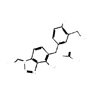 CCc1cc([C@H](CC(=O)O)c2ccc3c(nnn3CC)c2C)ccc1C